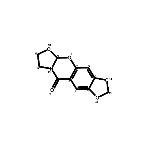 O=C1c2cc3c(cc2OC2OCCN12)OCO3